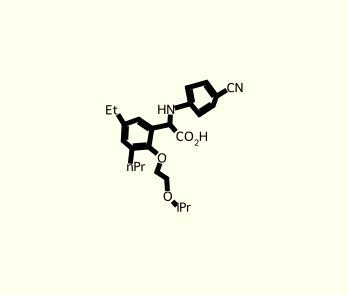 CCCc1cc(CC)cc(C(Nc2ccc(C#N)cc2)C(=O)O)c1OCCOC(C)C